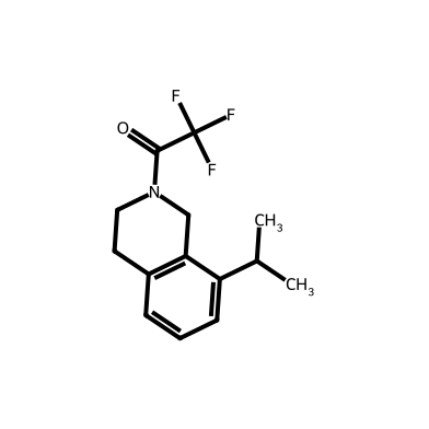 CC(C)c1cccc2c1CN(C(=O)C(F)(F)F)CC2